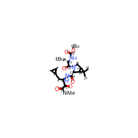 CNC(=O)C(=O)C(CC1CC1)NC(=O)[C@@H]1C2C(CN1C(=O)[C@@H](NC(=O)OC(C)(C)C)C(C)(C)C)C2(C)C